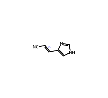 N#C/C=C/c1c[nH]cn1